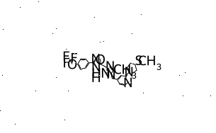 CSC1CCN(c2cc(CN3NC(C4NC(c5ccc(OC(F)(F)F)cc5)=NO4)N=C3C)ccn2)CC1